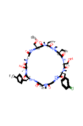 CC(C)C[C@H]1C(=O)N(C)[C@@H](CC(C)C)C(=O)N[C@@H]([C@@H](C)O)C(=O)N(C)[C@@H](Cc2cccc(Cl)c2)C(=O)NCC(=O)N(C)[C@@H](C(C)C)C(=O)N[C@@H](Cc2ccc(C(F)(F)F)cc2)C(=O)N[C@@](C)(O)C(=O)N(C)CC(=O)N[C@@H](COC(C)(C)C)C(=O)N1C